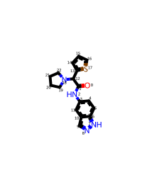 O=C(Nc1ccc2[nH]ncc2c1)C(c1cccs1)N1CCCC1